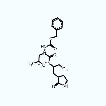 CC(C)CN(NC(=O)OCc1ccccc1)C(=O)NC(CO)CC1CCNC1=O